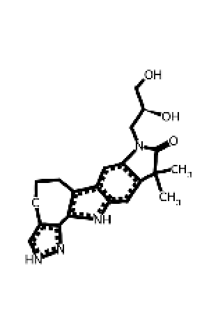 CC1(C)C(=O)N(C[C@H](O)CO)c2cc3c4c([nH]c3cc21)-c1n[nH]cc1CCC4